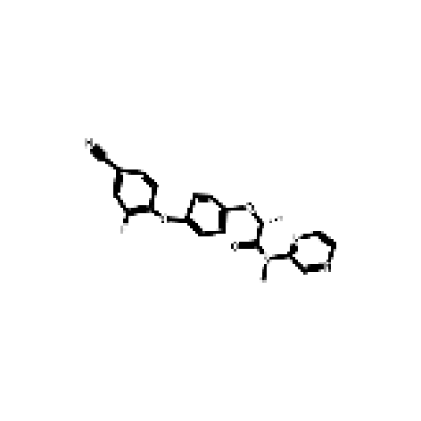 C[C@@H](Oc1ccc(Oc2ccc(C#N)cc2F)cc1)C(=O)N(C)c1cnccn1